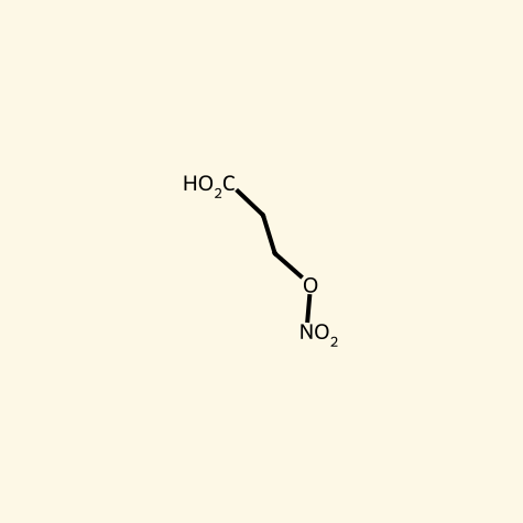 O=C(O)CCO[N+](=O)[O-]